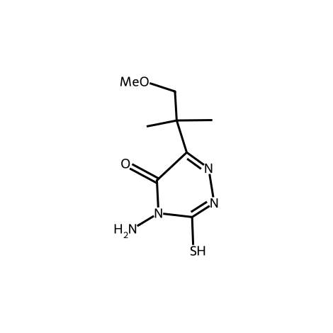 COCC(C)(C)c1nnc(S)n(N)c1=O